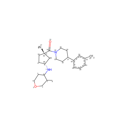 CC1COCCC1N[C@@H]1CC[C@@](C(=O)N2CCC(c3cccc(C(F)(F)F)c3)CC2)(C(C)C)C1